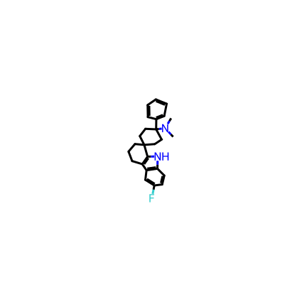 CN(C)C1(c2ccccc2)CCC2(CCCc3c2[nH]c2ccc(F)cc32)CC1